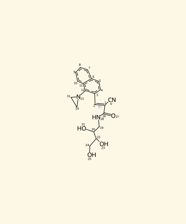 N#C/C(=C\c1ccc2ccccc2c1N1CC1)C(=O)NCC(O)C(O)CO